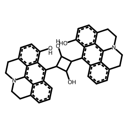 Oc1ccc2c3c4c5c(cccc5c(C5C(O)C(c6c7cccc8c7c7c9c(ccc(O)c69)CCN7CC8)C5O)c13)CCN4CC2